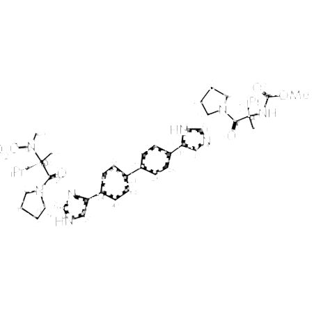 COC(=O)N[C@](C)(C(=O)N1CCC[C@H]1c1ncc(-c2ccc(-c3ccc(-c4c[nH]c([C@@H]5CCCN5C(=O)[C@](C)(C(C)C)N(C)C(=O)O)n4)cc3)cc2)[nH]1)C(C)C